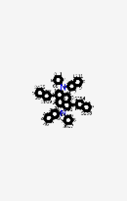 c1ccc(N(c2ccc3ccccc3c2)c2cc(-c3ccc4ccccc4c3)c3ccc4c(N(c5ccccc5)c5ccc6ccccc6c5)cc(-c5ccc6ccccc6c5)c5ccc2c3c54)cc1